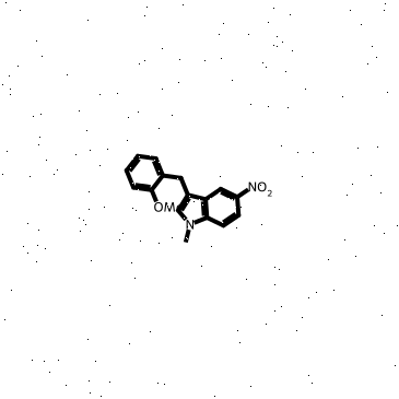 COc1ccccc1Cc1cn(C)c2ccc([N+](=O)[O-])cc12